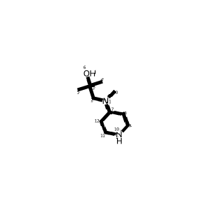 CN(CC(C)(C)O)C1CCNCC1